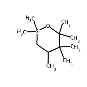 CC1C[Si](C)(C)OC(C)(C)C1(C)C